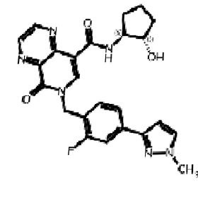 Cn1ccc(-c2ccc(Cn3cc(C(=O)N[C@H]4CCC[C@@H]4O)c4nccnc4c3=O)c(F)c2)n1